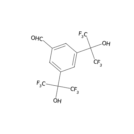 O=Cc1cc(C(O)(C(F)(F)F)C(F)(F)F)cc(C(O)(C(F)(F)F)C(F)(F)F)c1